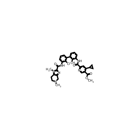 COC(=O)c1cnc(C(=O)Nc2cccc(-c3cccc(NC(=O)c4nc5c(n4C)CCN(C)C5)c3Cl)c2C)cc1C1CC1